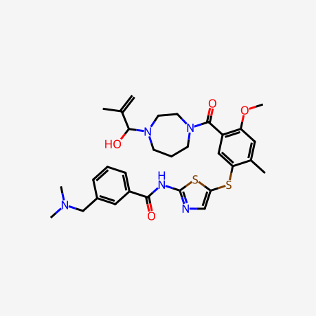 C=C(C)C(O)N1CCCN(C(=O)c2cc(Sc3cnc(NC(=O)c4cccc(CN(C)C)c4)s3)c(C)cc2OC)CC1